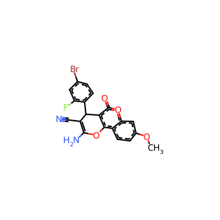 COc1ccc2c3c(c(=O)oc2c1)C(c1ccc(Br)cc1F)C(C#N)=C(N)O3